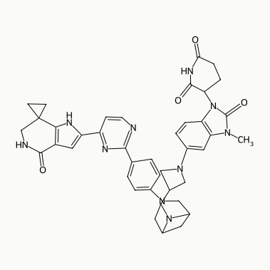 Cn1c(=O)n(C2CCC(=O)NC2=O)c2ccc(N3CC(CN4C5CC4CN(c4ccc(-c6nccc(-c7cc8c([nH]7)C7(CC7)CNC8=O)n6)cc4)C5)C3)cc21